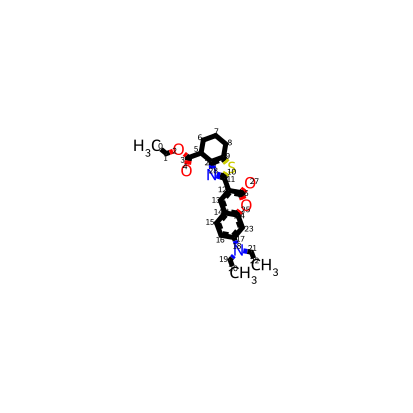 CCOC(=O)C1CCCc2sc(-c3cc4ccc(N(CC)CC)cc4oc3=O)nc21